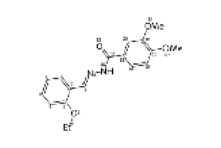 CCOc1ccccc1C=NNC(=O)c1ccc(OC)c(OC)c1